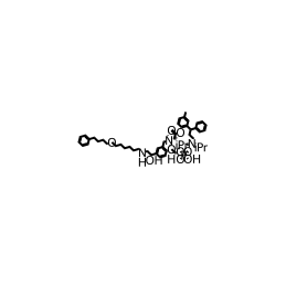 Cc1ccc(OC(=O)C[N+](C)(C)Cc2cc(C(O)CNCCCCCCOCCCCc3ccccc3)ccc2OCOP(=O)(O)O)c(C(CCN(C(C)C)C(C)C)c2ccccc2)c1